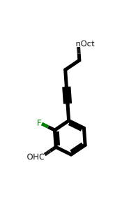 CCCCCCCCCCC#Cc1cccc(C=O)c1F